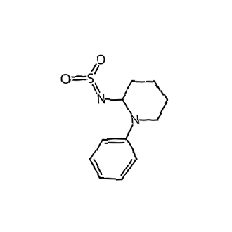 O=S(=O)=NC1CCCCN1c1ccccc1